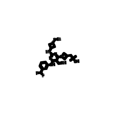 CCSN1CC(Nc2nc(Nc3cccc(C(F)F)c3)c(C=N)c(N3CC(CC(C)(C)O)C3)n2)C1